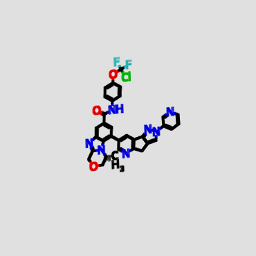 C[C@@H]1COCc2nc3cc(C(=O)Nc4ccc(OC(F)(F)Cl)cc4)cc(-c4cnc5c(c4)-c4nn(-c6cccnc6)cc4C5)c3n21